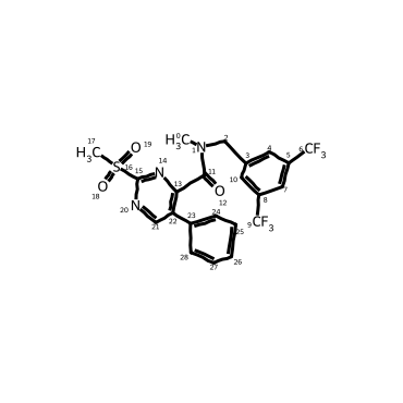 CN(Cc1cc(C(F)(F)F)cc(C(F)(F)F)c1)C(=O)c1nc(S(C)(=O)=O)ncc1-c1ccccc1